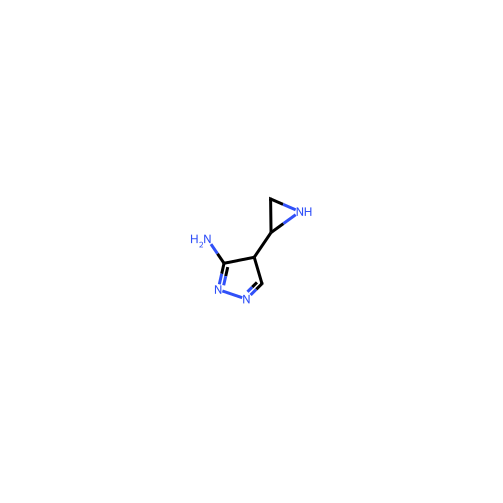 NC1=NN=CC1C1CN1